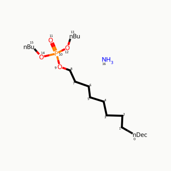 CCCCCCCCCCCCCCCCCCOP(=O)(OCCCC)OCCCC.N